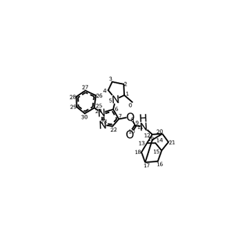 CC1CCCN1c1c(OC(=O)NC2C3CC4CC(C3)CC2C4)cnn1-c1ccccc1